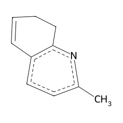 Cc1ccc2c(n1)CCC=C2